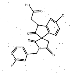 O=C(O)CN1C(=O)C2(CC(=O)N(Cc3cccc(F)c3)C2=O)c2ccc(Cl)cc21